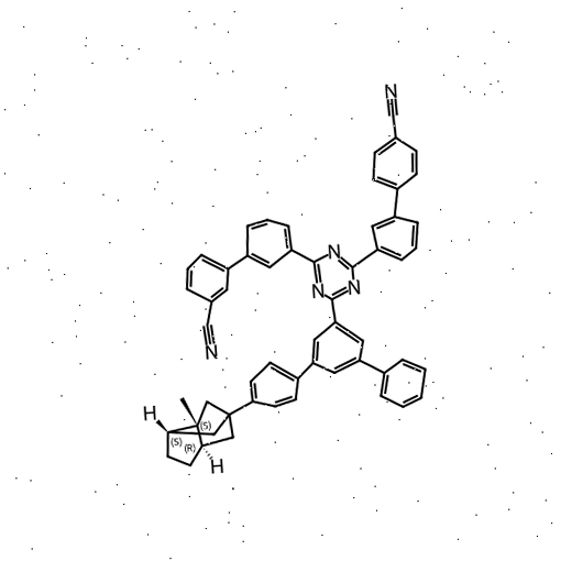 C[C@@]12CC3(c4ccc(-c5cc(-c6ccccc6)cc(-c6nc(-c7cccc(-c8ccc(C#N)cc8)c7)nc(-c7cccc(-c8cccc(C#N)c8)c7)n6)c5)cc4)C[C@H]1CC[C@H]2C3